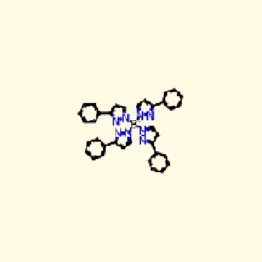 c1ccc(-c2ccn([B-](n3ccc(-c4ccccc4)n3)(n3ccc(-c4ccccc4)n3)n3ccc(-c4ccccc4)n3)n2)cc1